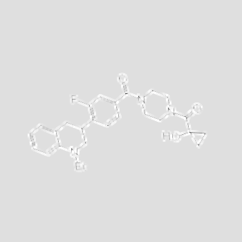 CCN1CC(c2ccc(C(=O)N3CCN(C(=O)C4(O)CC4)CC3)cc2F)Cc2ccccc21